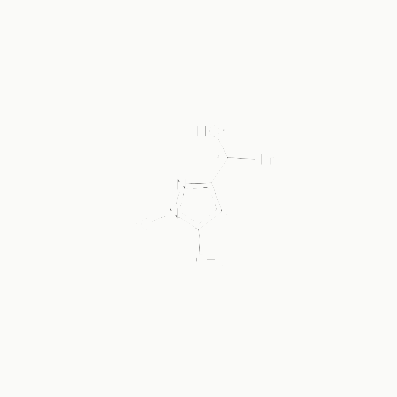 Cc1cc(C(O)C(C)C)nn1C